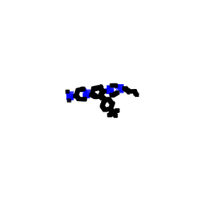 CCCCN1CCN(c2ccc(N3CCC(N(C)C)CC3)cc2C2CCC(C(C)(C)C)CC2)CC1